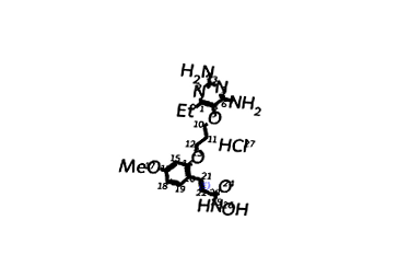 CCc1nc(N)nc(N)c1OCCCOc1cc(OC)ccc1/C=C/C(=O)NO.Cl